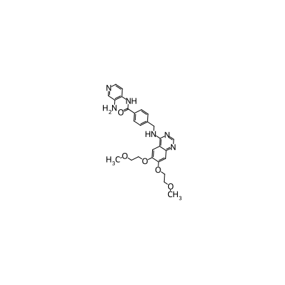 COCCOc1cc2ncnc(NCc3ccc(C(=O)Nc4ccncc4N)cc3)c2cc1OCCOC